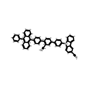 N#Cc1ccc2c(c1)c1ccccc1n2-c1ccc(-c2ccc(-c3ccc(-c4c5ccccc5c(-c5ccccc5)c5ccccc45)cc3)c(C#N)c2)cc1